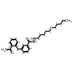 CCCCCOCCCCCNNC(=O)c1cccc(Cc2ccccc2C(N)=O)c1